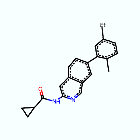 CCc1ccc(C)c(-c2ccc3cc(NC(=O)C4CC4)ncc3c2)c1